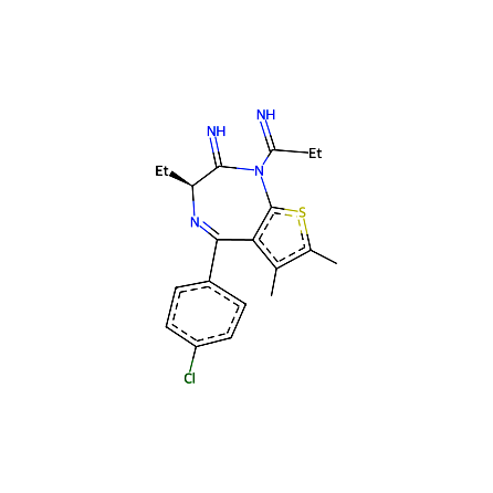 CCC(=N)N1C(=N)[C@H](CC)N=C(c2ccc(Cl)cc2)c2c1sc(C)c2C